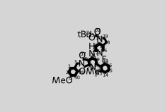 COc1ccc(CN2Cc3nc(-c4c(F)cccc4F)cc(Nc4cc5c(cn4)CCN5C(=O)OC(C)(C)C)c3C2=O)c(OC)c1